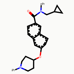 CCCN(CC1CC1)C(=O)c1ccc2cc(OC3CCN(C(C)C)CC3)ccc2c1